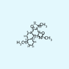 Cc1nc2c(o1)c1c(c3ccc4c(C)cccc4c32)OC[C@@H]1C